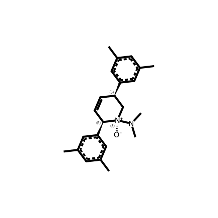 Cc1cc(C)cc([C@@H]2C=C[C@H](c3cc(C)cc(C)c3)[N@+]([O-])(N(C)C)C2)c1